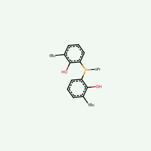 CCCP(c1cccc(C(C)(C)C)c1O)c1cccc(C(C)(C)C)c1O